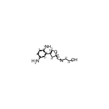 Nc1ccc(N)c(C2=COC(=C=NCCO)C2)c1